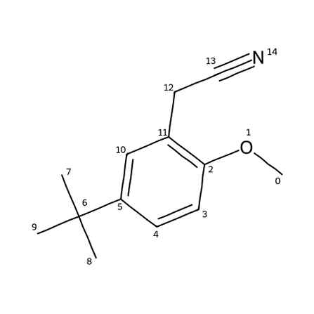 COc1ccc(C(C)(C)C)cc1CC#N